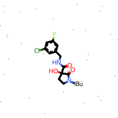 CCC(C)N1CCC(O)(C(=O)NCc2cc(F)cc(Cl)c2)C1=O